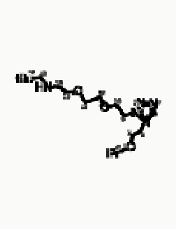 CC(C)OCCc1cnnn1CCOCCOCCNCC(C)(C)C